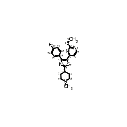 CSc1nccc(-c2sc(C3CCN(C)CC3)nc2-c2ccc(F)cc2)n1